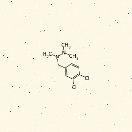 CN(C)N(C)Cc1ccc(Cl)c(Cl)c1